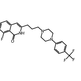 O=c1[nH]c(CCCN2CCN(c3ccc(C(F)(F)F)cc3)CC2)cc2cccc(F)c12